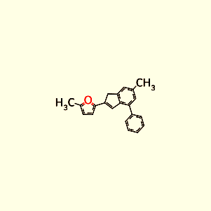 Cc1cc2c(c(-c3ccccc3)c1)C=C(c1ccc(C)o1)C2